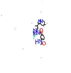 C=C(/C=C(\N=C/CF)NC(=O)[C@H]1CCC[C@@H](NC(C)=O)C1)c1cnn2c1CC(C)(C)CC2